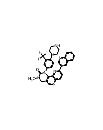 CN1Cc2cnc3ccc(-c4cnc5ccccc5c4)nc3c2N(c2ccc(N3CCNCC3)c(C(F)(F)F)c2)C1=O